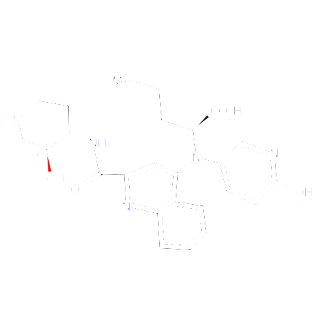 CSCC[C@@H](C(=O)O)N(c1ccc(O)nc1)c1cc(C(=O)N[C@H]2CCOC[C@@H]2O)nc2ccccc12